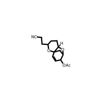 CC(=O)OC1C=CC23CC1O[C@H]2CCC(CCC#N)O3